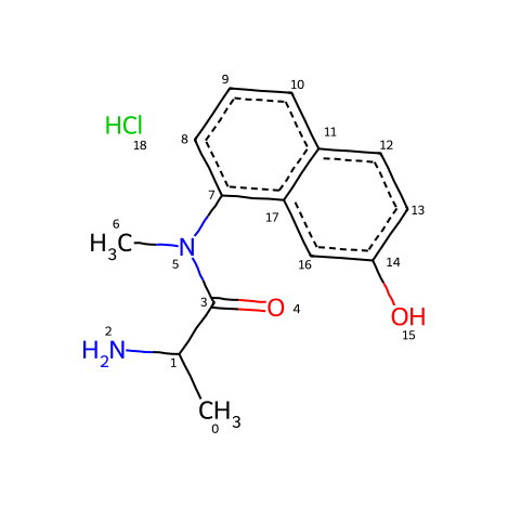 CC(N)C(=O)N(C)c1cccc2ccc(O)cc12.Cl